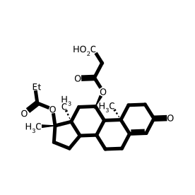 CCC(=O)O[C@@]1(C)CCC2C3CCC4=CC(=O)CC[C@]4(C)C3[C@H](OC(=O)CC(=O)O)C[C@@]21C